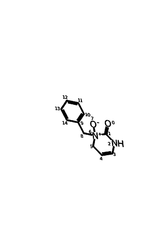 O=C1NC=CC[N+]1([O-])Cc1ccccc1